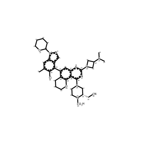 Cc1cc2c(cnn2C2CCCCO2)c(-c2cc3nc(N4CC(N(C)C)C4)nc(N4CCN(C(=O)O)[C@@H](CC#N)C4)c3c3c2CCCO3)c1Cl